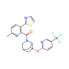 Cc1ccc(-c2nccs2)c(C(=O)N2CC3CCC2C(Oc2ccc(C(F)(F)F)cn2)C3)n1